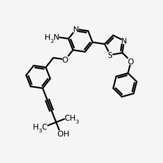 CC(C)(O)C#Cc1cccc(COc2cc(-c3cnc(Oc4ccccc4)s3)cnc2N)c1